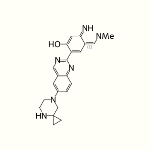 CN/C=C1/C=C(c2ncc3cc(N4CCNC5(CC5)C4)ccc3n2)C(O)=CC1=N